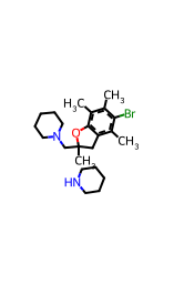 C1CCNCC1.Cc1c(C)c2c(c(C)c1Br)CC(C)(CN1CCCCC1)O2